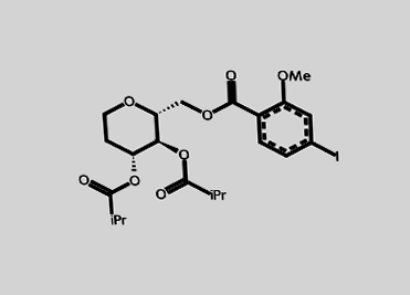 COc1cc(I)ccc1C(=O)OC[C@H]1OCC[C@@H](OC(=O)C(C)C)[C@@H]1OC(=O)C(C)C